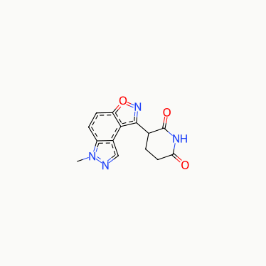 Cn1ncc2c3c(C4CCC(=O)NC4=O)noc3ccc21